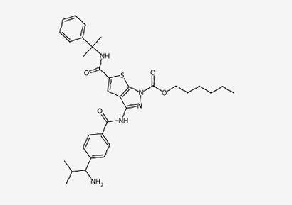 CCCCCCOC(=O)n1nc(NC(=O)c2ccc(C(N)C(C)C)cc2)c2cc(C(=O)NC(C)(C)c3ccccc3)sc21